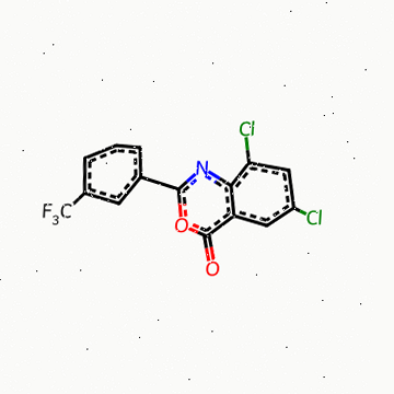 O=c1oc(-c2cccc(C(F)(F)F)c2)nc2c(Cl)cc(Cl)cc12